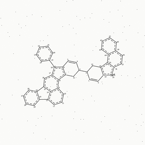 C1=CC(C2C=Cc3c(c4c5cccc6c5c(cc4n3-c3ccccc3)-c3ccccc3-6)C2)Cc2c1[nH]c1ccc3ccccc3c21